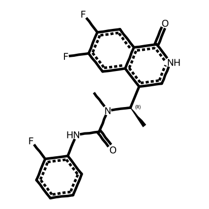 C[C@H](c1c[nH]c(=O)c2cc(F)c(F)cc12)N(C)C(=O)Nc1ccccc1F